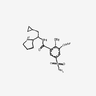 COc1cc(S(N)(=O)=O)cc(C(=O)NC(CC2CC2)C2CCCN2)c1OC